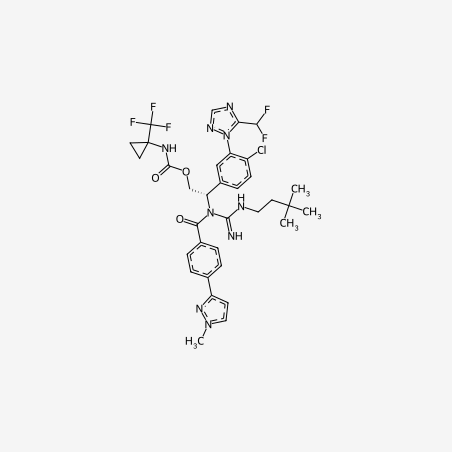 Cn1ccc(-c2ccc(C(=O)N(C(=N)NCCC(C)(C)C)[C@H](COC(=O)NC3(C(F)(F)F)CC3)c3ccc(Cl)c(-n4ncnc4C(F)F)c3)cc2)n1